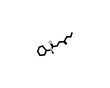 C=C(CCC)CCC(=O)N(C)C1CCCCC1